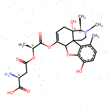 Cc1ccc(O)c2c1C13CCN(C)[C@H](C)[C@]1(O)CC=C(OC(=O)[C@H](C)OC(=O)C[C@H](N)C(=O)O)C3O2